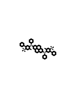 Cc1cc(S(C)(C)C)c(-c2ccccc2)cc1N(c1ccccc1)c1cc2ccc3cc(N(c4ccccc4)c4cc(-c5ccccc5)c(S(C)(C)C)cc4C)cc4ccc(c1)c2c34